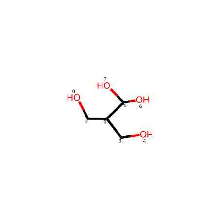 OCC(CO)[C](O)O